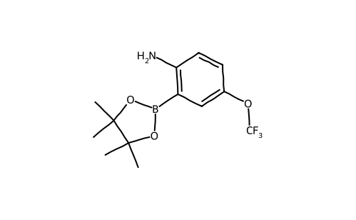 CC1(C)OB(c2cc(OC(F)(F)F)ccc2N)OC1(C)C